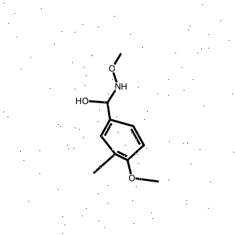 CONC(O)c1ccc(OC)c(C)c1